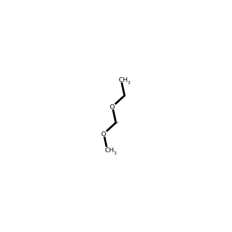 CCO[C]OC